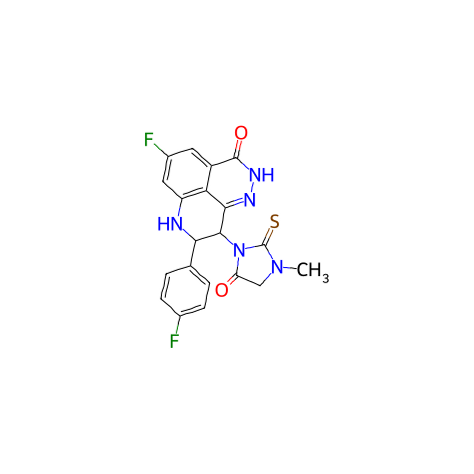 CN1CC(=O)N(C2c3n[nH]c(=O)c4cc(F)cc(c34)NC2c2ccc(F)cc2)C1=S